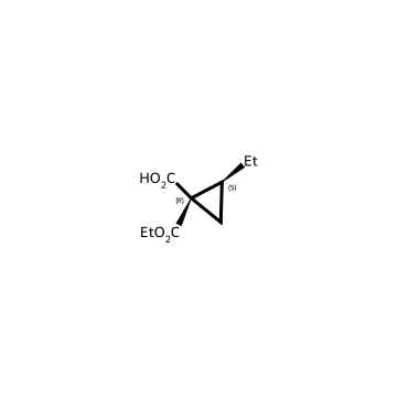 CCOC(=O)[C@]1(C(=O)O)C[C@@H]1CC